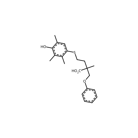 Cc1cc(SCCC(C)(COc2ccccc2)C(=O)O)c(C)c(C)c1O